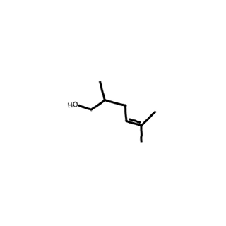 CC(C)=CCC(C)[CH]O